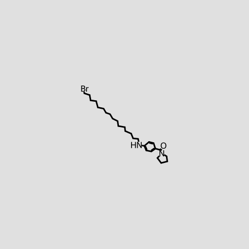 O=C(c1ccc(NCCCCCCCCCCCCCCCCBr)cc1)N1CCCC1